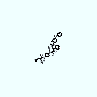 C=c1[nH]c2c(C(=O)NC3=CCC(NC(=O)/C(C#N)=C/C4CC4)CC3)sc3nccc(c32)n1-c1ccc(Oc2ccccc2)cc1C